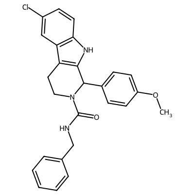 COc1ccc(C2c3[nH]c4ccc(Cl)cc4c3CCN2C(=O)NCc2ccccc2)cc1